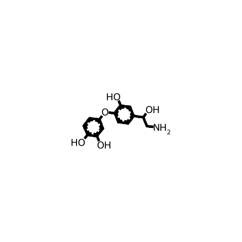 NCC(O)c1ccc(Oc2ccc(O)c(O)c2)c(O)c1